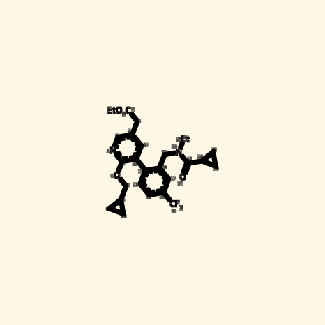 CCOC(=O)Cc1cnc(OCC2CC2)c(-c2ccc(C(F)(F)F)cc2CN(CC)C(=O)C2CC2)c1